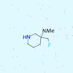 CNC1(CF)CCCNC1